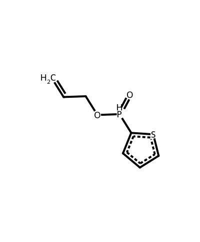 C=CCO[PH](=O)c1cccs1